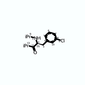 CC(C)N[C@@H](Cc1cccc(Cl)c1)C(=O)C(C)C